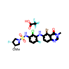 CO[C@H]1CN(S(=O)(=O)Nc2ccc(F)c(Nc3ccc4ncn(C)c(=O)c4c3Br)c2Cl)C[C@H]1F.O=C(O)C(F)(F)F